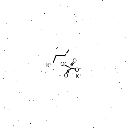 CCCC.O=S(=O)([O-])[O-].[K+].[K+]